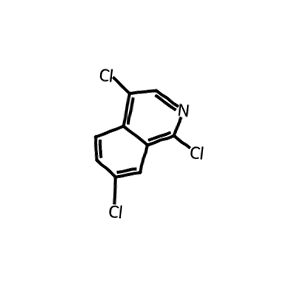 Clc1ccc2c(Cl)cnc(Cl)c2c1